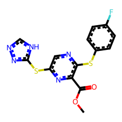 COC(=O)c1nc(Sc2nnc[nH]2)cnc1Sc1ccc(F)cc1